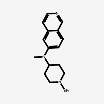 CCCN1CCC(N(C)c2ccc3cnccc3c2)CC1